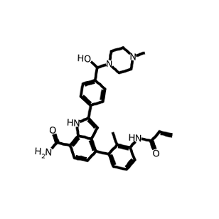 C=CC(=O)Nc1cccc(-c2ccc(C(N)=O)c3[nH]c(-c4ccc(C(O)N5CCN(C)CC5)cc4)cc23)c1C